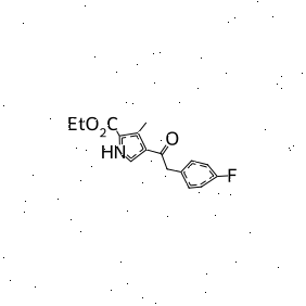 CCOC(=O)c1[nH]cc(C(=O)Cc2ccc(F)cc2)c1C